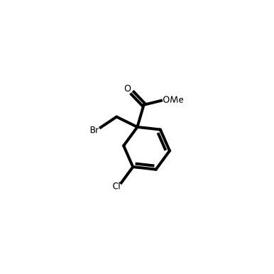 COC(=O)C1(CBr)C=CC=C(Cl)C1